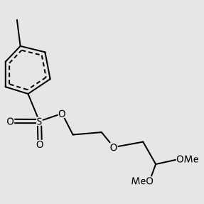 COC(COCCOS(=O)(=O)c1ccc(C)cc1)OC